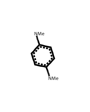 CNc1ccc(NC)cc1